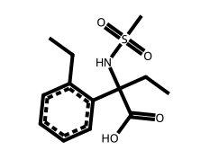 CCc1ccccc1C(CC)(NS(C)(=O)=O)C(=O)O